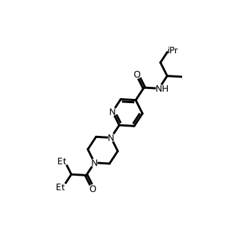 CCC(CC)C(=O)N1CCN(c2ccc(C(=O)NC(C)CC(C)C)cn2)CC1